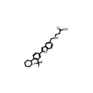 O=C(O)CCNCc1ccc2oc(-c3ccc(C4CCCCC4)c(C(F)(F)F)c3)cc2c1